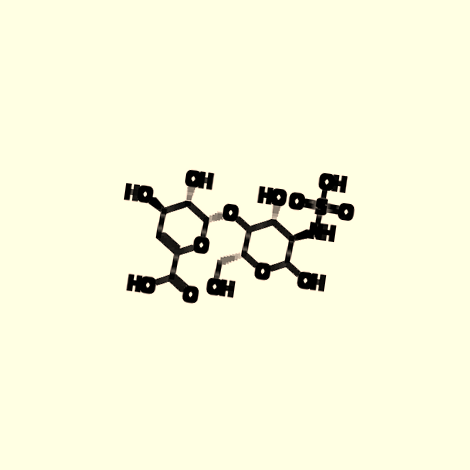 O=C(O)C1=C[C@@H](O)[C@H](O)[C@H](OC2[C@@H](CO)OC(O)[C@H](NS(=O)(=O)O)[C@H]2O)O1